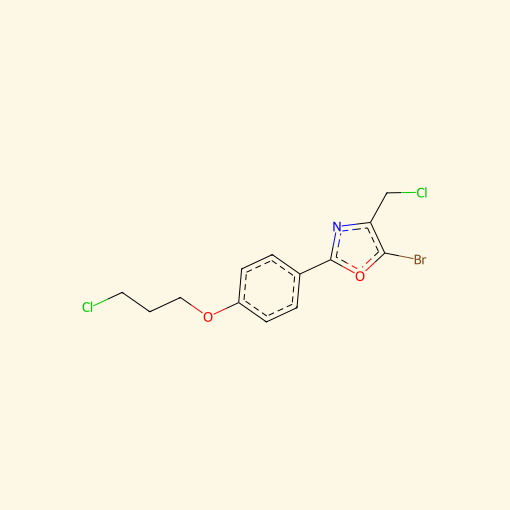 ClCCCOc1ccc(-c2nc(CCl)c(Br)o2)cc1